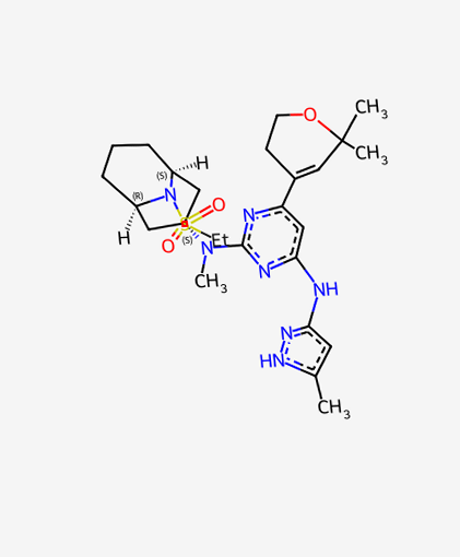 CCS(=O)(=O)N1[C@@H]2CCC[C@H]1C[C@H](N(C)c1nc(Nc3cc(C)[nH]n3)cc(C3=CC(C)(C)OCC3)n1)C2